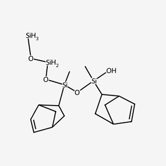 C[Si](O)(O[Si](C)(O[SiH2]O[SiH3])C1CC2C=CC1C2)C1CC2C=CC1C2